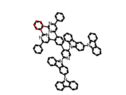 c1ccc(-c2cc(-c3ccc(-c4cc(-n5c6ccccc6c6cc(-n7c8ccccc8c8ccccc87)ccc65)ncc4-n4c5ccccc5c5cc(-n6c7ccccc7c7ccccc76)ccc54)cc3-c3cc(-c4ccccc4)nc(-c4ccccc4)n3)nc(-c3ccccc3)n2)cc1